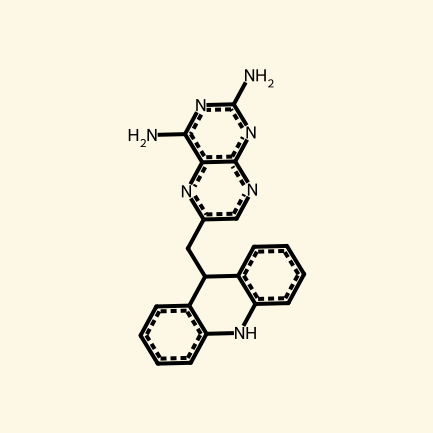 Nc1nc(N)c2nc(CC3c4ccccc4Nc4ccccc43)cnc2n1